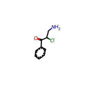 NCC(Cl)C(=O)c1ccccc1